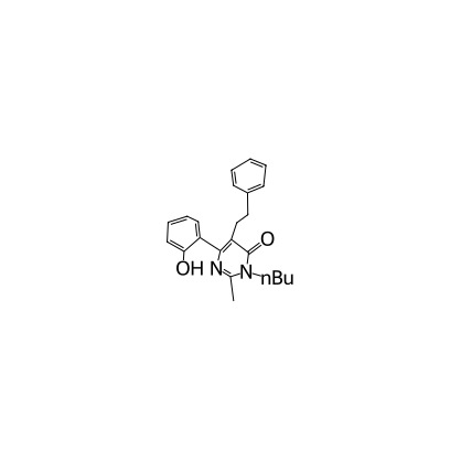 CCCCn1c(C)nc(-c2ccccc2O)c(CCc2ccccc2)c1=O